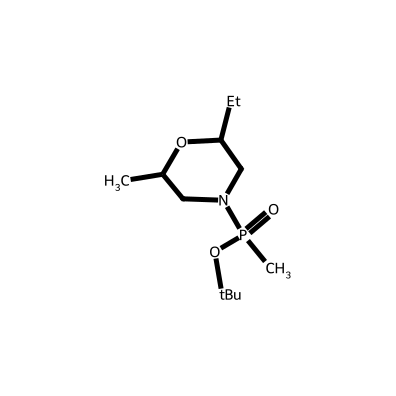 CCC1CN(P(C)(=O)OC(C)(C)C)CC(C)O1